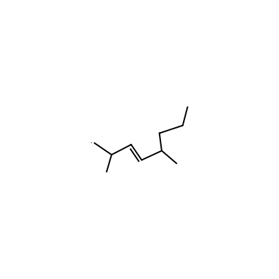 [CH2]C(C)C=CC(C)CCC